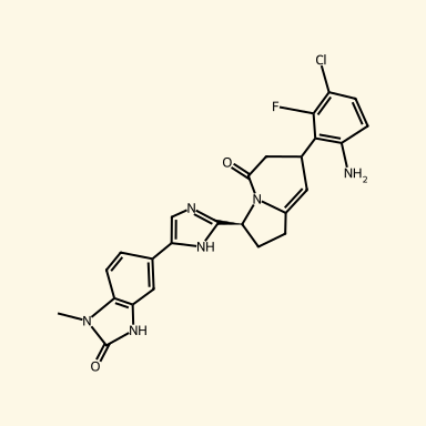 Cn1c(=O)[nH]c2cc(-c3cnc([C@@H]4CCC5=CC(c6c(N)ccc(Cl)c6F)CC(=O)N54)[nH]3)ccc21